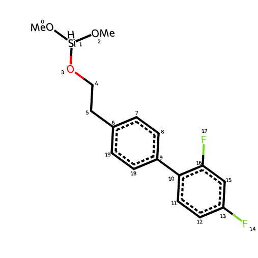 CO[SiH](OC)OCCc1ccc(-c2ccc(F)cc2F)cc1